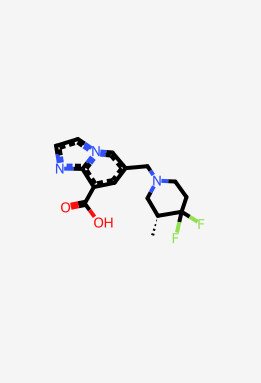 C[C@@H]1CN(Cc2cc(C(=O)O)c3nccn3c2)CCC1(F)F